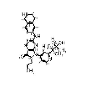 C=CCn1c(=O)c2cnc(Nc3ccc4c(c3)CCNC4)nc2n1-c1ccnc(C(C)(C)C(C)(C)O)c1